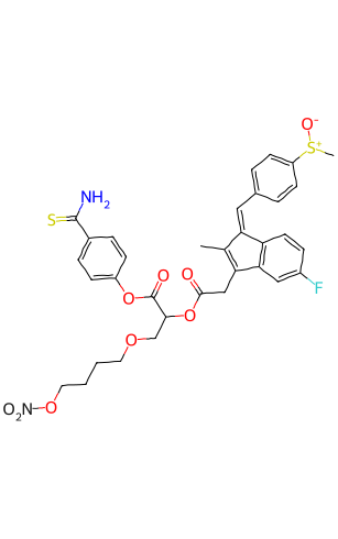 CC1=C(CC(=O)OC(COCCCCO[N+](=O)[O-])C(=O)Oc2ccc(C(N)=S)cc2)c2cc(F)ccc2/C1=C\c1ccc([S+](C)[O-])cc1